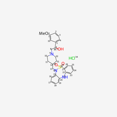 COc1cccc([C@@H](O)CN2CCC(CN3c4ccccc4Nc4ccccc4S3(=O)=O)CC2)c1.Cl